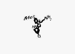 CSc1ccc(C2c3[nH]c4ccc(Cl)cc4c3CCN2C(=O)CCN)cc1